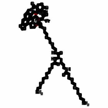 CC[C@@]1(OC(=O)[C@@H](NC(=O)[C@@H]2CCCN2C(=O)[C@H](CC(=O)O)NC(=O)CCOCCOCCOCCNC(=O)[C@H](CCCCNC(=O)CCOCCOCCOCCN)NC(=O)CCOCCOCCOCCN)C(C)C)C(=O)OCc2c1cc1n(c2=O)Cc2cc3cc4c(cc3nc2-1)OCO4